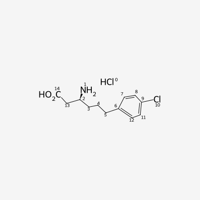 Cl.N[C@@H](CCCc1ccc(Cl)cc1)CC(=O)O